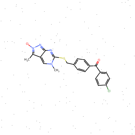 Cc1c2cn(C)c(SCc3ccc(C(=O)c4ccc(Cl)cc4)cc3)nc-2n[n+]1[O-]